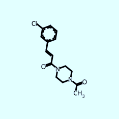 CC(=O)N1CCN(C(=O)/C=C/c2cc[c]c(Cl)c2)CC1